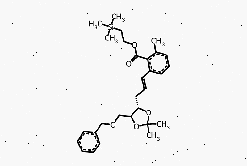 Cc1cccc(/C=C/C[C@@H]2OC(C)(C)OC2COCc2ccccc2)c1C(=O)OCC[Si](C)(C)C